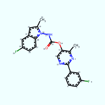 Cc1nc(-c2cccc(F)c2)ncc1OC(=O)Nn1c(C)cc2cc(F)ccc21